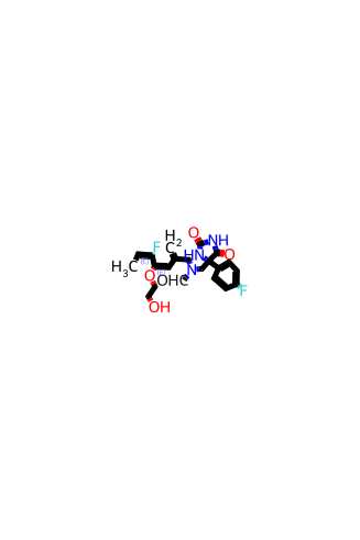 C=C(/C=C(OCCO)\C(F)=C/C)CN(C=O)CC1(c2ccc(F)cc2)NC(=O)NC1=O